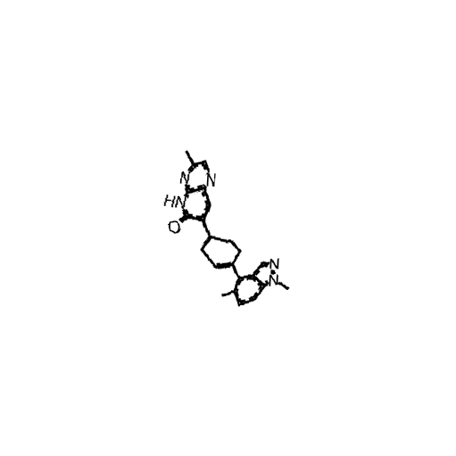 Cc1cnc2cc(C3CC=C(c4c(C)ccc5c4cnn5C)CC3)c(=O)[nH]c2n1